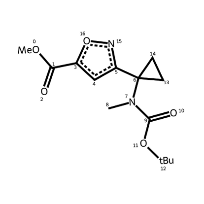 COC(=O)c1cc(C2(N(C)C(=O)OC(C)(C)C)CC2)no1